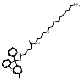 Cc1ccc(C(OC(=O)COCC(=O)NCCCOCCOCCOCCCN)(c2ccccc2)c2ccccc2Cl)cc1